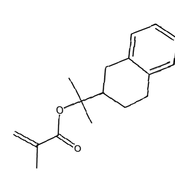 C=C(C)C(=O)OC(C)(C)C1CCc2ccccc2C1